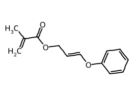 C=C(C)C(=O)OCC=COc1ccccc1